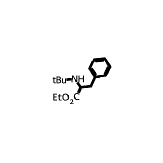 CCOC(=O)C(Cc1ccccc1)NC(C)(C)C